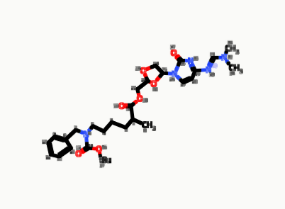 CC(CCCCN(Cc1ccccc1)C(=O)OC(C)(C)C)C(=O)OCC1OCC(n2ccc(/N=C/N(C)C)nc2=O)O1